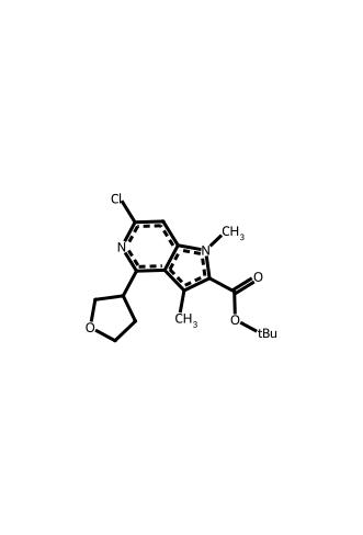 Cc1c(C(=O)OC(C)(C)C)n(C)c2cc(Cl)nc(C3CCOC3)c12